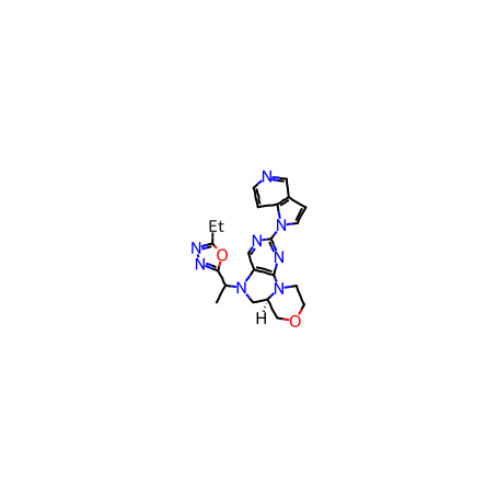 CCc1nnc(C(C)N2C[C@@H]3COCCN3c3nc(-n4ccc5cnccc54)ncc32)o1